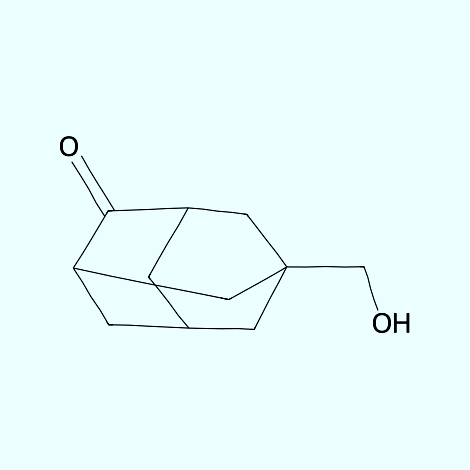 O=C1C2CC3CC1CC(CO)(C3)C2